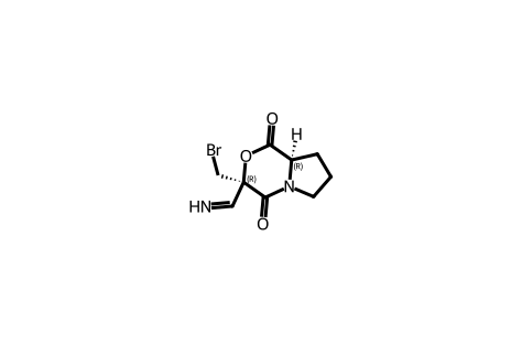 N=C[C@@]1(CBr)OC(=O)[C@H]2CCCN2C1=O